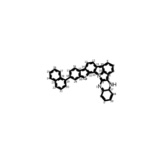 C1=CC2=Nc3c(c4cccc5c6ccc7c8ccc(-c9cccc%10ccccc9%10)cc8sc7c6n3c45)NC2C=C1